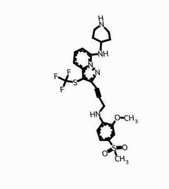 COc1cc(S(C)(=O)=O)ccc1NCC#Cc1nn2c(NC3CCNCC3)cccc2c1SC(F)(F)F